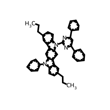 CCCc1ccc2c(c1)c1cc3c(cc1n2-c1ccccc1)c1cc(CCC)ccc1n3-c1nc(-c2ccccc2)cc(-c2ccccc2)n1